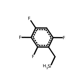 Fc1cc(F)c(C[SiH3])c(F)c1F